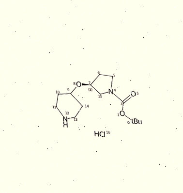 CC(C)(C)OC(=O)N1CC[C@H](OC2CCNCC2)C1.Cl